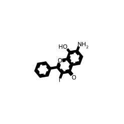 Nc1ccc2c(=O)c(I)c(-c3ccccc3)oc2c1O